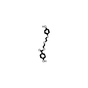 O=C(OCCOCCSc1ccc(O)cc1)c1ccc(O)cc1